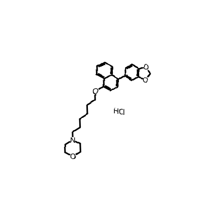 Cl.c1ccc2c(-c3ccc4c(c3)OCO4)ccc(OCCCCCCN3CCOCC3)c2c1